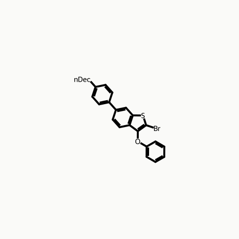 CCCCCCCCCCc1ccc(-c2ccc3c(Oc4ccccc4)c(Br)sc3c2)cc1